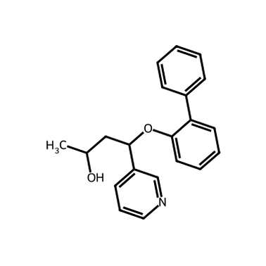 CC(O)CC(Oc1ccccc1-c1ccccc1)c1cccnc1